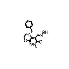 Cn1nc2c(c(C=NO)c1=O)N(Cc1ccccc1)CCO2